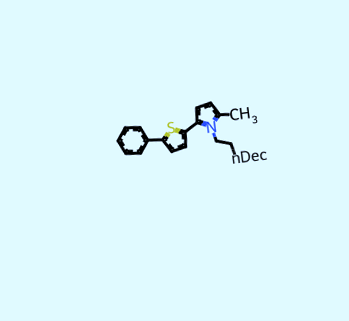 CCCCCCCCCCCCn1c(C)ccc1-c1ccc(-c2ccccc2)s1